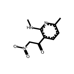 CNc1nc(C)ccc1C(=O)C[N+](=O)[O-]